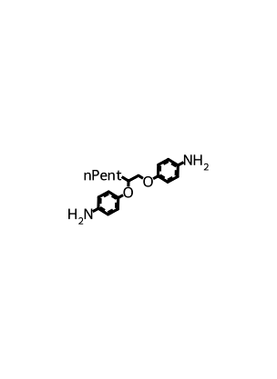 CCCCCC(COc1ccc(N)cc1)Oc1ccc(N)cc1